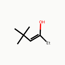 CC/C(O)=C/C(C)(C)C